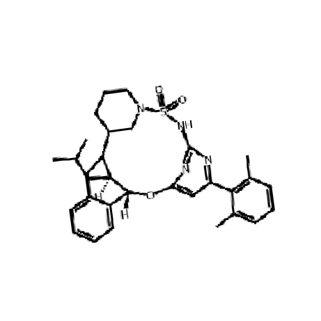 Cc1cccc(C)c1-c1cc2nc(n1)NS(=O)(=O)N1CCCC(C1)C1Cc3ccccc3[C@@H](O2)[C@H]1CC(C)C